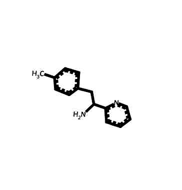 Cc1ccc(CC(N)c2ccccn2)cc1